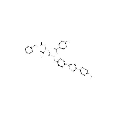 CCCCCCCOc1ccc(-c2cnc(-c3ccc(CC(NC(=O)c4ccc(C(C)(C)C)cc4)C(=O)NC(CC(=O)OCc4ccccc4)C(=O)OC(C)(C)C)cc3)nc2)cc1